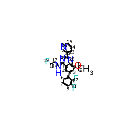 COc1cc(-c2cccc(F)c2F)cc2c(NCCF)nc(-c3cccnc3)nc12